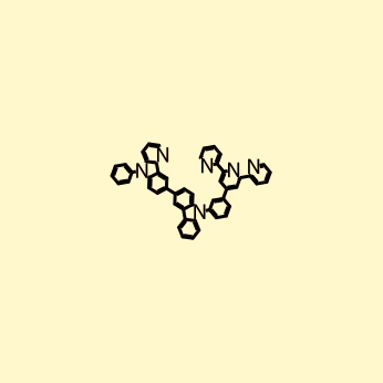 c1ccc(-n2c3ccc(-c4ccc5c(c4)c4ccccc4n5-c4cccc(-c5cc(-c6ccccn6)nc(-c6ccccn6)c5)c4)cc3c3ncccc32)cc1